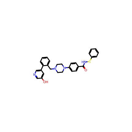 O=C(NSc1ccccc1)c1ccc(N2CCN(Cc3ccccc3-c3cncc(O)c3)CC2)cc1